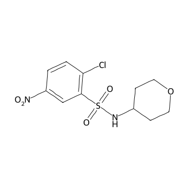 O=[N+]([O-])c1ccc(Cl)c(S(=O)(=O)NC2CCOCC2)c1